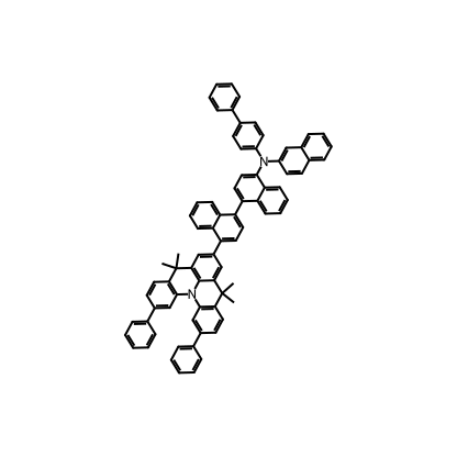 CC1(C)c2ccc(-c3ccccc3)cc2N2c3cc(-c4ccccc4)ccc3C(C)(C)c3cc(-c4ccc(-c5ccc(N(c6ccc(-c7ccccc7)cc6)c6ccc7ccccc7c6)c6ccccc56)c5ccccc45)cc1c32